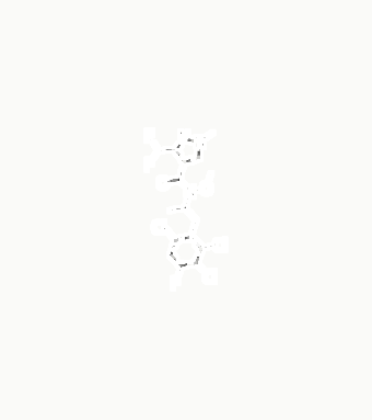 CON(C(=O)c1cn(C)nc1C(F)F)C(C)Cc1c(Cl)cc(F)c(Cl)c1Cl